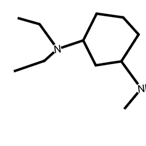 CCN(CC)C1CCCC(NC)C1